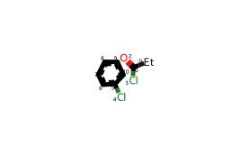 CCC(=O)Cl.Clc1ccccc1